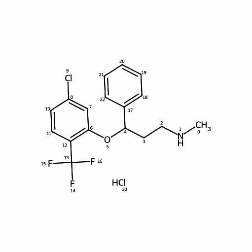 CNCCC(Oc1cc(Cl)ccc1C(F)(F)F)c1ccccc1.Cl